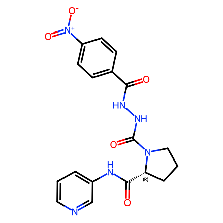 O=C(NNC(=O)N1CCC[C@@H]1C(=O)Nc1cccnc1)c1ccc([N+](=O)[O-])cc1